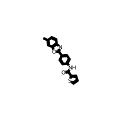 Cc1ccc2nc(-c3ccc(NC(=O)c4cccs4)cc3)oc2c1